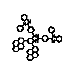 C1=C(c2nc(-c3ccc(-c4nc5ccccc5n4-c4ccccc4)cc3)c3cc(C4CC=c5ccc6cccc7c6c5C4CC=7)cc(-c4ccc5ccc6cccc7ccc4c5c67)c3n2)CCC(c2nc3ccccc3n2-c2ccccc2)=C1